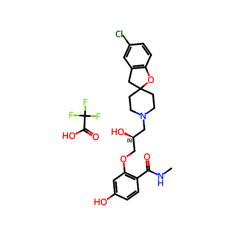 CNC(=O)c1ccc(O)cc1OC[C@@H](O)CN1CCC2(CC1)Cc1cc(Cl)ccc1O2.O=C(O)C(F)(F)F